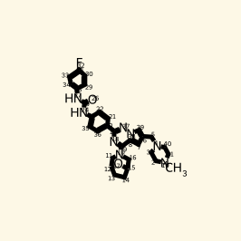 CN1CCN(Cc2cc3c(N4CC5CCC(C4)O5)nc(-c4ccc(NC(=O)Nc5ccc(F)cc5)cc4)nn3c2)CC1